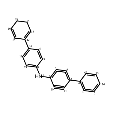 C1=C=C(C2=C=C=C(Nc3ccc(C4=CCCC=C4)cc3)C#C2)C=CC=1